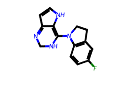 Fc1ccc2c(c1)CCN2C1=c2[nH]ccc2=NCN1